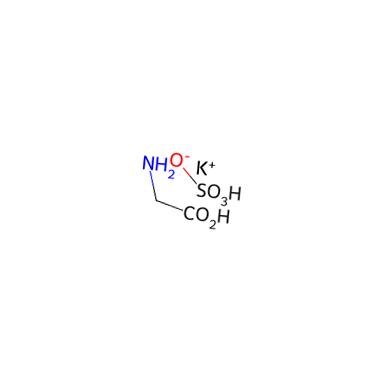 NCC(=O)O.O=S(=O)([O-])O.[K+]